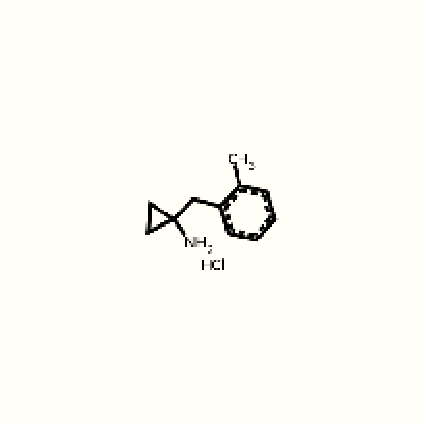 Cc1ccccc1CC1(N)CC1.Cl